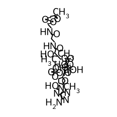 CC(=O)CS(=O)(=O)CCNC(=O)CCNC(=O)C(O)C(C)(C)COP(=O)(O)OP(=O)(O)OCC1OC(C)(n2cnc3c(N)ncnc32)C(O)C1OP(=O)(O)O